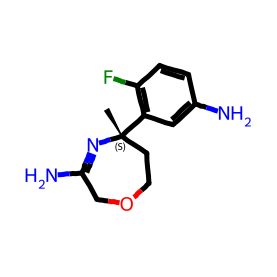 C[C@@]1(c2cc(N)ccc2F)CCOCC(N)=N1